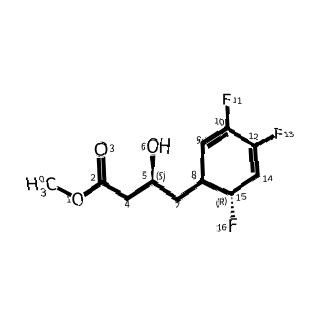 COC(=O)C[C@@H](O)CC1C=C(F)C(F)=C[C@@H]1F